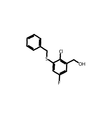 OCc1cc(F)cc(SCc2ccccc2)c1Cl